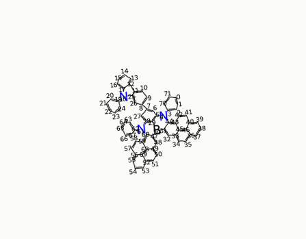 c1ccc(N2c3cc(-c4ccc5c6ccccc6n(-c6ccccc6)c5c4)cc4c3B(c3cc5ccc6cccc7ccc(c32)c5c67)c2cc3ccc5cccc6ccc(c2N4c2ccccc2)c3c56)cc1